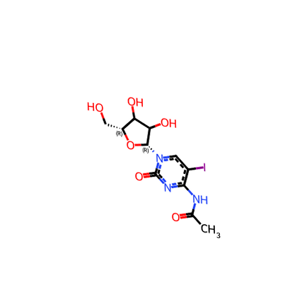 CC(=O)Nc1nc(=O)n([C@@H]2O[C@H](CO)C(O)C2O)cc1I